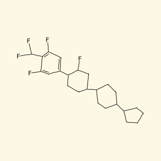 Fc1cc(C2CCC(C3CCC(C4CCCC4)CC3)CC2F)cc(F)c1C(F)F